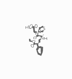 CCOC(=O)[C@@H](CCN[C@@H](C)C(=O)N(CC(=O)O)N1CCSC1)c1ccccc1